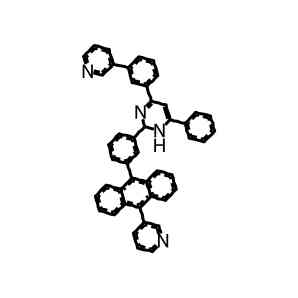 C1=C(c2ccccc2)NC(c2cccc(-c3c4ccccc4c(-c4cccnc4)c4ccccc34)c2)N=C1c1cccc(-c2cccnc2)c1